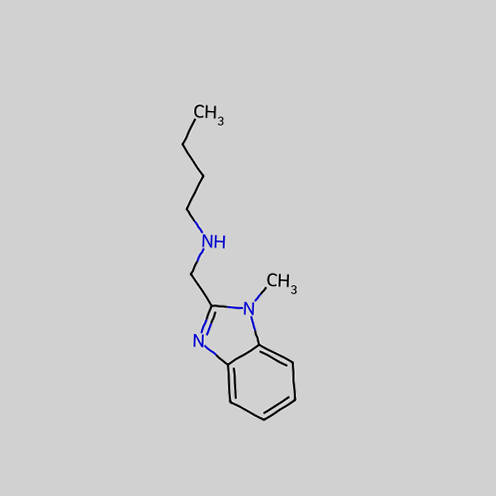 CCCCNCc1nc2ccccc2n1C